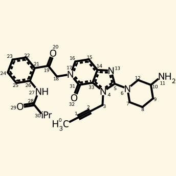 CC#CCn1c(N2CCCC(N)C2)nc2ccn(CC(=O)c3ccccc3NC(=O)C(C)C)c(=O)c21